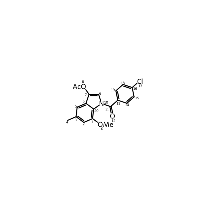 COc1cc(C)cc2c(OC(C)=O)cn(C(=O)c3ccc(Cl)cc3)c12